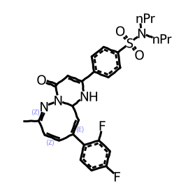 CCCN(CCC)S(=O)(=O)c1ccc(C2=CC(=O)N3\N=C(C)/C=C\C(c4ccc(F)cc4F)=C/C3N2)cc1